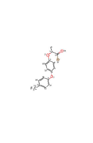 CC(Oc1ccc(Oc2ccc(C(F)(F)F)cc2)cc1)C(=O)Br